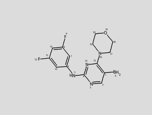 Bc1cnc(Nc2cc(F)cc(F)c2)nc1N1CCOCC1